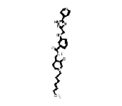 CCCCCCCN1CCC(CNC(=O)c2cccc(NCc3n[nH]c(-c4ccncc4)n3)c2)C(Cl)C1